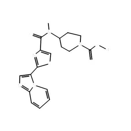 CN(C(=O)c1csc(-c2cnc3ccccn23)n1)C1CCN(C(=O)OC(C)(C)C)CC1